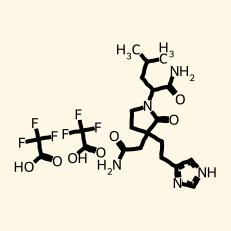 CC(C)CC(C(N)=O)N1CCC(CCc2c[nH]cn2)(CC(N)=O)C1=O.O=C(O)C(F)(F)F.O=C(O)C(F)(F)F